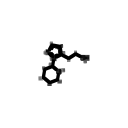 OCCc1ccnn1C1CCCCO1